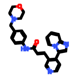 O=C(/C=C/c1cnccc1-c1cnc2ccccn12)Nc1ccc(CN2CCOCC2)cc1